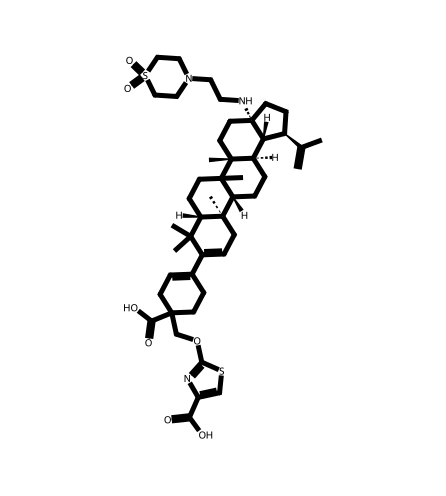 C=C(C)[C@@H]1CC[C@]2(NCCN3CCS(=O)(=O)CC3)CC[C@]3(C)[C@H](CC[C@H]4C3(C)CC[C@H]3C(C)(C)C(C5=CCC(COc6nc(C(=O)O)cs6)(C(=O)O)CC5)=CC[C@@]34C)[C@@H]12